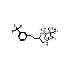 CC(C)(C)[Si](C)(C)OC(CO)COc1cccc(C(F)(F)F)c1